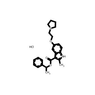 Cc1[nH]c2ccc(OCCN3CCCC3)cc2c1C(=O)OC(C)c1ccccc1.Cl